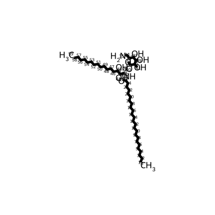 CCCCCCCCCCCCCCCCCCCCCCCCCC(=O)N[C@@H](COC1OC(CN)C(O)C(O)C1O)C(O)[C@H](O)CCCCCCCCCCCCCC